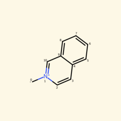 [CH2][n+]1ccc2ccccc2c1